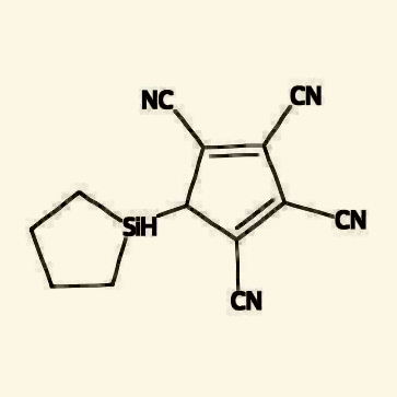 N#CC1=C(C#N)C([SiH]2CCCC2)C(C#N)=C1C#N